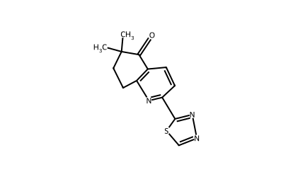 CC1(C)CCc2nc(-c3nncs3)ccc2C1=O